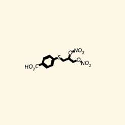 O=C(O)c1ccc(SCC(CO[N+](=O)[O-])O[N+](=O)[O-])cc1